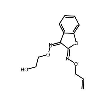 C=CCON=C1Oc2ccccc2C1=NOCCO